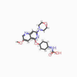 COc1cnc2cc(N3CCOCC3)nc(OC3CCC(NC(=O)O)CC3)c2c1